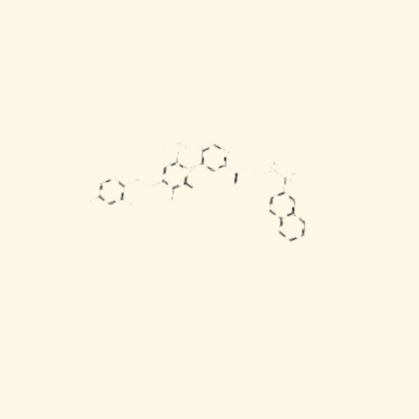 Cc1cnc(C(=O)OO[NH+]([O-])[C@@H](C)c2ccc3ccccc3c2)cc1-n1c(C)cc(OCc2ncc(F)cc2F)c(Cl)c1=O